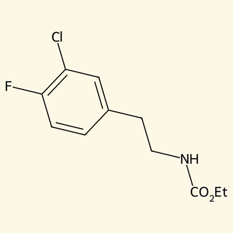 CCOC(=O)NCCc1ccc(F)c(Cl)c1